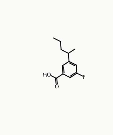 CCCC(C)c1cc(F)cc(C(=O)O)c1